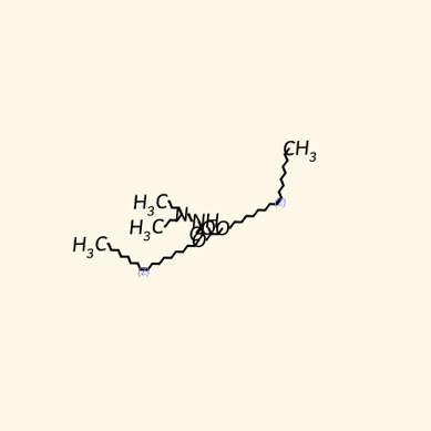 CCCCCCCC/C=C\CCCCCCCCOCC(COCCCCCCCC/C=C\CCCCCCCC)OC(=O)NCCN(CCCC)CCCC